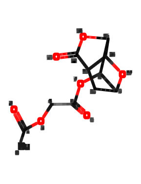 CCC(C)C(=O)OCC(=O)OC1C2CC3C(=O)OC1C3O2